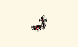 OB(O)c1c(F)c(F)c(F)c(F)c1F.OB(O)c1c(F)cc(F)cc1F.OB(O)c1cc(F)c(F)c(F)c1F.OB(O)c1ccc(Cl)cc1.OB(O)c1cccc(Cl)c1.OB(O)c1ccccc1Cl